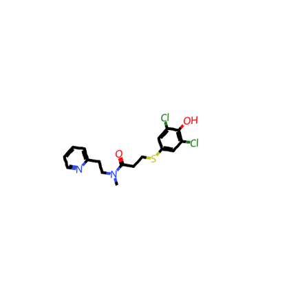 CN(CCc1ccccn1)C(=O)CCSc1cc(Cl)c(O)c(Cl)c1